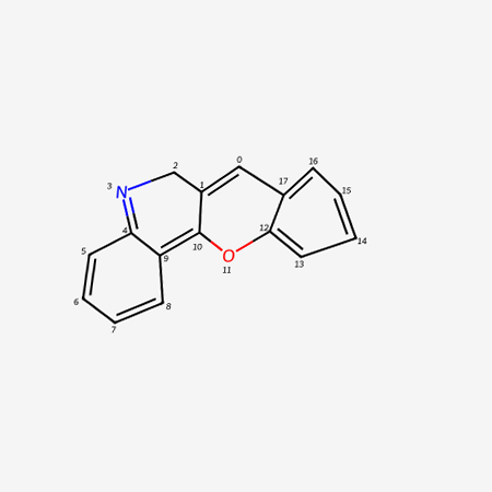 C1=C2CN=c3ccccc3=C2Oc2ccccc21